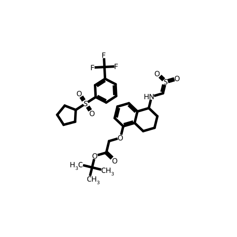 CC(C)(C)OC(=O)COc1cccc2c1CCCC2NC=S(=O)=O.O=S(=O)(c1cccc(C(F)(F)F)c1)C1CCCC1